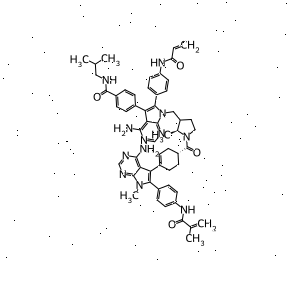 C=CC(=O)Nc1ccc(-c2c(-c3ccc(C(=O)NCC(C)C)cc3)c3c(N)ncnc3n2CC2CCN(C(=O)[C@H]3CC=C(c4c(-c5ccc(NC(=O)C(=C)C)cc5)n(C)c5ncnc(N)c45)CC3)[C@H]2C)cc1